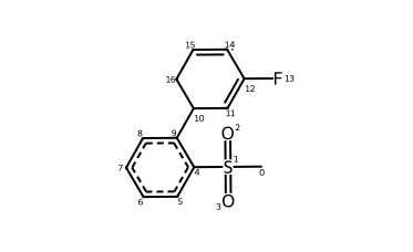 CS(=O)(=O)c1ccccc1C1C=C(F)[C]=CC1